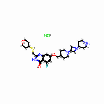 Cl.O=c1[nH]c(CSC2CCOCC2)nc2cc(OCC3CCN(C4CN(C5CCNCC5)C4)CC3)cc(F)c12